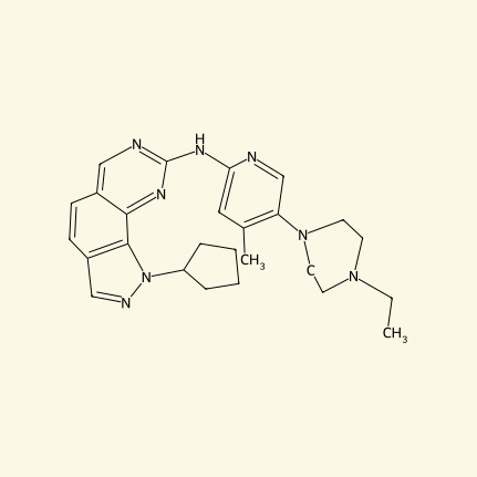 CCN1CCN(c2cnc(Nc3ncc4ccc5cnn(C6CCCC6)c5c4n3)cc2C)CC1